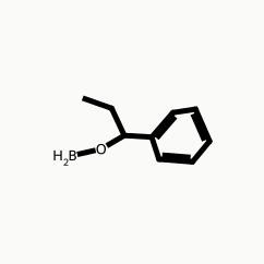 BOC(CC)c1ccccc1